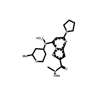 CON(C)C(=O)c1cc2nc(N3CCCC3)cc(N(C(=O)O)C3CCOC(C(C)(C)C)C3)n2n1